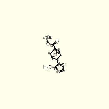 Cc1ncsc1C1CC2CCC1CN2C(=O)OC(C)(C)C